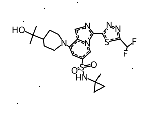 CC1(NS(=O)(=O)c2cc(N3CCC(C(C)(C)O)CC3)c3cnc(-c4nnc(C(F)F)s4)n3c2)CC1